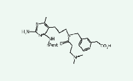 CCCCCNc1nc(N)nc(C)c1CCCN(Cc1cccc(CC(=O)O)c1)C(=O)CCN(C)C